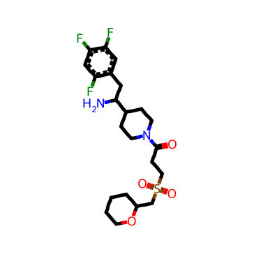 NC(Cc1cc(F)c(F)cc1F)C1CCN(C(=O)CCS(=O)(=O)CC2CCCCO2)CC1